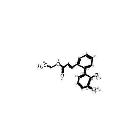 CCOC(=O)C=Cc1ccccc1-c1cccc(C)c1C